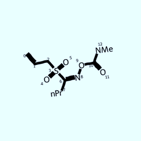 C=CCS(=O)(=O)C(CCC)=NOC(=O)NC